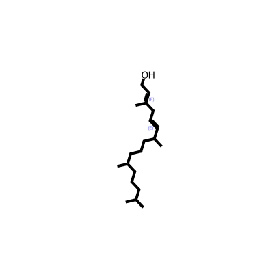 C/C(=C\CO)C/C=C/C(C)CCCC(C)CCCC(C)C